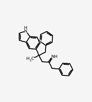 CC(CC(=N)Cc1ccccc1)(Cc1ccccn1)c1ccc2[nH]ccc2c1